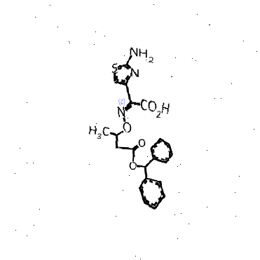 CC(CC(=O)OC(c1ccccc1)c1ccccc1)O/N=C(\C(=O)O)c1csc(N)n1